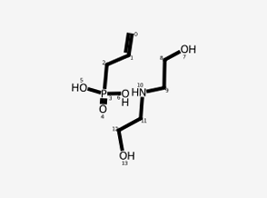 C=CCP(=O)(O)O.OCCNCCO